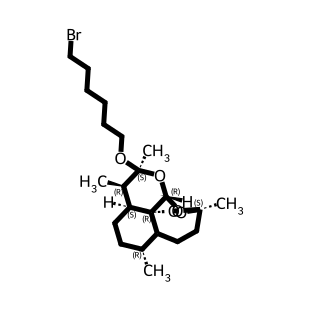 C[C@@H]1CC[C@H]2[C@@H](C)[C@@](C)(OCCCCCCBr)O[C@@H]3O[C@]4(C)CCC1[C@]32OO4